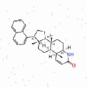 C[C@]12C=CC(=O)N[C@@H]1CC[C@@H]1[C@@H]2CC[C@]2(C)[C@@H](c3cccc4ccccc34)CC[C@@H]12